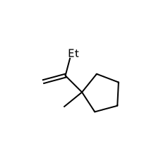 C=C(CC)C1(C)CCCC1